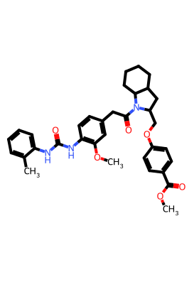 COC(=O)c1ccc(OCC2CC3CCCCC3N2C(=O)Cc2ccc(NC(=O)Nc3ccccc3C)c(OC)c2)cc1